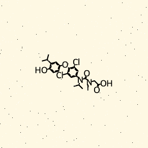 CC(C)c1cc(Oc2c(Cl)cc(N(C(=O)N(I)CC(=O)O)C(C)C)cc2Cl)ccc1O